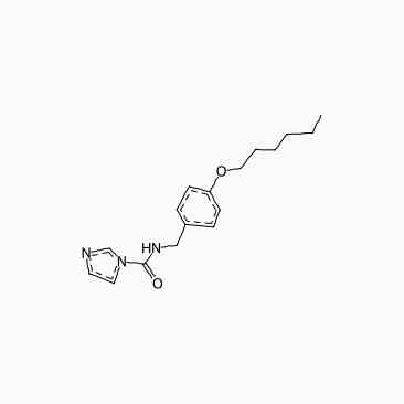 CCCCCCOc1ccc(CNC(=O)n2ccnc2)cc1